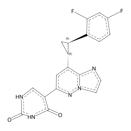 O=c1[nH]cc(-c2cc([C@@H]3C[C@H]3c3ccc(F)cc3F)c3nccn3n2)c(=O)[nH]1